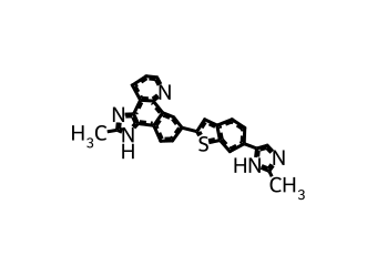 Cc1ncc(-c2ccc3cc(-c4ccc5c(c4)c4ncccc4c4nc(C)[nH]c54)sc3c2)[nH]1